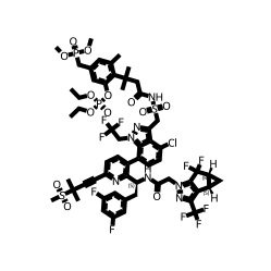 CCOP(=O)(OCC)Oc1cc(CP(=O)(OC)OC)cc(C)c1C(C)(C)CC(=O)NS(=O)(=O)Cc1nn(CC(F)(F)F)c2c(-c3ccc(C#CC(C)(C)S(C)(=O)=O)nc3[C@H](Cc3cc(F)cc(F)c3)NC(=O)Cn3nc(C(F)(F)F)c4c3C(F)(F)[C@@H]3C[C@H]43)ccc(Cl)c12